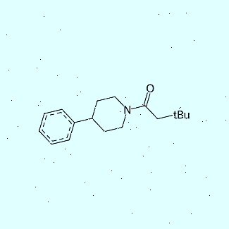 [CH2]C(C)(C)CC(=O)N1CCC(c2ccccc2)CC1